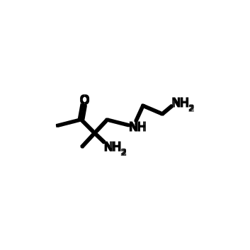 CC(=O)C(C)(N)CNCCN